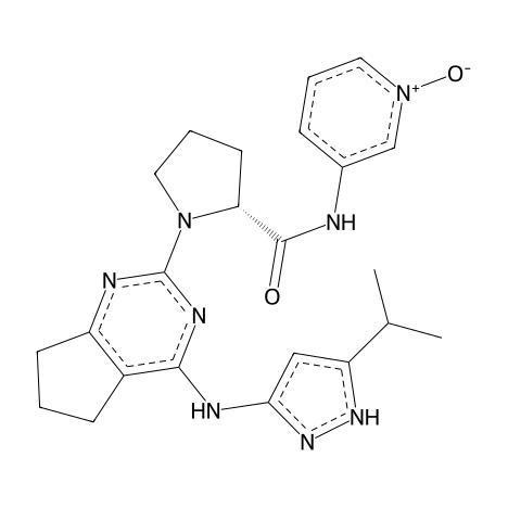 CC(C)c1cc(Nc2nc(N3CCC[C@@H]3C(=O)Nc3ccc[n+]([O-])c3)nc3c2CCC3)n[nH]1